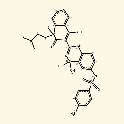 CC(C)CCC1(C)C(=O)C(C2=NS(O)(O)c3cc(NS(=O)(=O)c4ccc(N)cc4)ccc3N2)=C(O)c2ccccc21